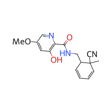 COc1cnc(C(=O)NCC2C=CC=CC2(C)C#N)c(O)c1